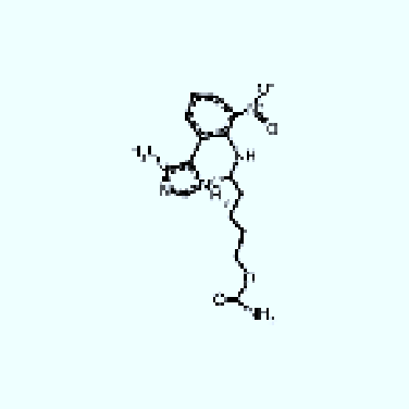 CC(CCCCOC(N)=O)Nc1c(-c2ncnn2C)cccc1[N+](=O)[O-]